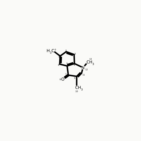 Cc1ccc2c(c1)c(=O)c(C)cn2C